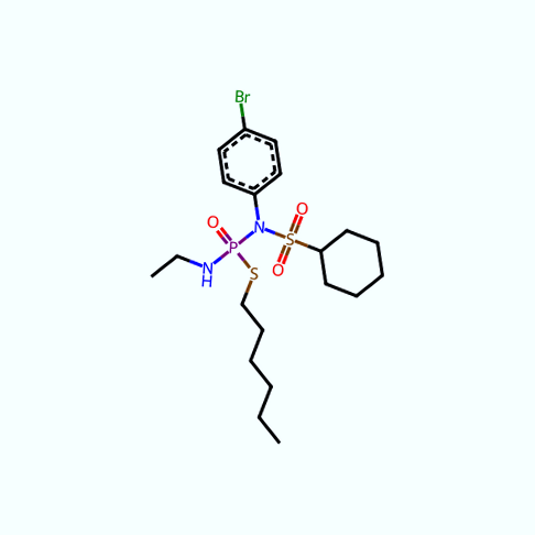 CCCCCCSP(=O)(NCC)N(c1ccc(Br)cc1)S(=O)(=O)C1CCCCC1